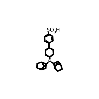 O=S(=O)(O)c1ccc(C2CCC(P(C3CC4CCC3C4)C3CC4CCC3C4)CC2)cc1